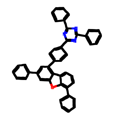 c1ccc(-c2cc(-c3ccc(-c4nc(-c5ccccc5)nc(-c5ccccc5)n4)cc3)c3c(c2)oc2c(-c4ccccc4)cccc23)cc1